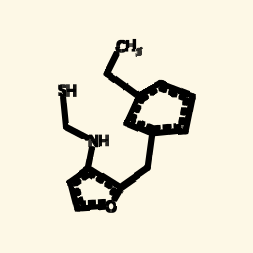 CCc1cccc(Cc2occc2NCS)c1